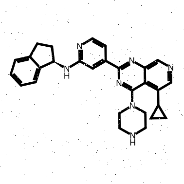 c1ccc2c(c1)CC[C@H]2Nc1cc(-c2nc(N3CCNCC3)c3c(C4CC4)cncc3n2)ccn1